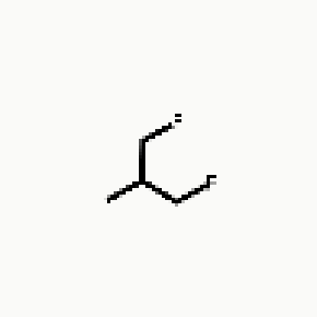 [CH2]C(CF)CF